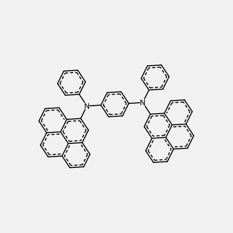 c1ccc(N(c2ccc(N(c3ccccc3)c3cc4cccc5ccc6cccc3c6c54)cc2)c2cc3cccc4ccc5cccc2c5c43)cc1